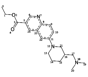 CCOC(=O)c1cnc2ccc(N3CCCC(CN(C)C)C3)cc2c1